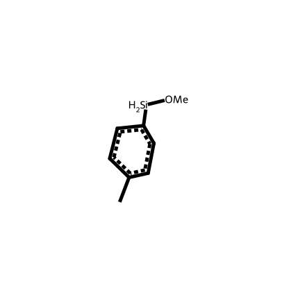 CO[SiH2]c1ccc(C)cc1